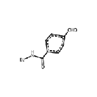 [CH2]CNC(=O)c1ccc(C=O)cc1